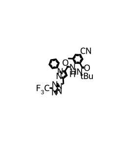 Cc1cc(C#N)cc(C(=O)NC(C)(C)C)c1NC(=O)c1cc(Cn2nnc(C(F)(F)F)n2)nn1-c1ccccc1